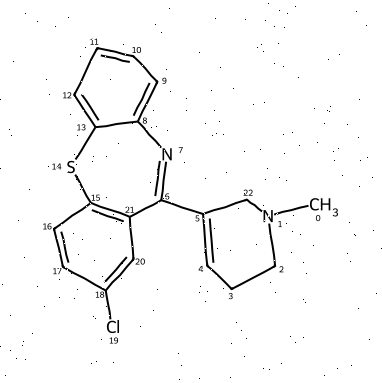 CN1CCC=C(C2=Nc3ccccc3Sc3ccc(Cl)cc32)C1